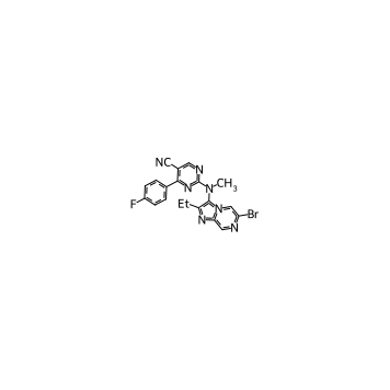 CCc1nc2cnc(Br)cn2c1N(C)c1ncc(C#N)c(-c2ccc(F)cc2)n1